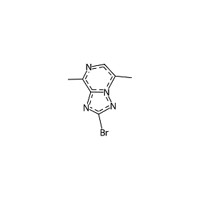 Cc1ncc(C)n2nc(Br)nc12